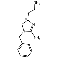 NCC[C@@H]1CN(Cc2ccccc2)C(N)=N1